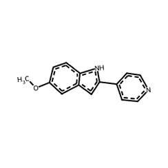 COc1ccc2[nH]c(-c3ccncc3)cc2c1